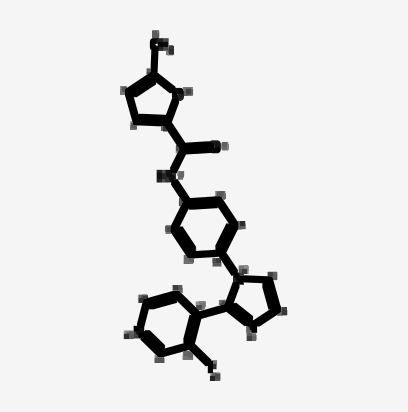 Cc1ccc(C(=O)Nc2ccc(-n3ccnc3-c3ccncc3F)cc2)o1